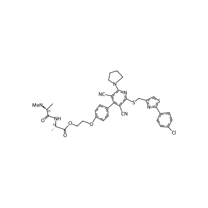 CN[C@@H](C)C(=O)N[C@@H](C)C(=O)OCCOc1ccc(-c2c(C#N)c(SCc3csc(-c4ccc(Cl)cc4)n3)nc(N3CCCC3)c2C#N)cc1